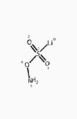 [Li][S](=O)(=O)ON